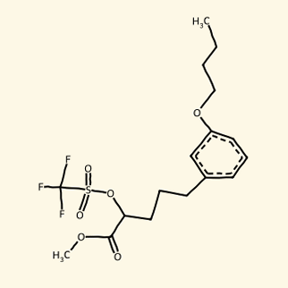 CCCCOc1cccc(CCCC(OS(=O)(=O)C(F)(F)F)C(=O)OC)c1